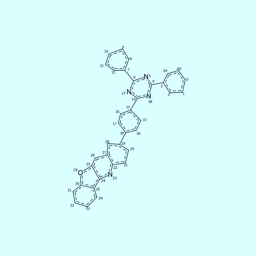 c1ccc(-c2nc(-c3ccccc3)nc(-c3ccc(-c4ccc5nc6c(cc5c4)oc4ccccc46)cc3)n2)cc1